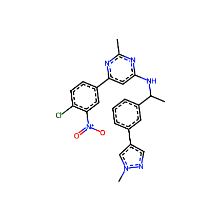 Cc1nc(NC(C)c2cccc(-c3cnn(C)c3)c2)cc(-c2ccc(Cl)c([N+](=O)[O-])c2)n1